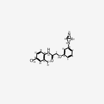 O=C(COc1cccc(-n2c3nn2-3)c1)Nc1ccc(Cl)cc1F